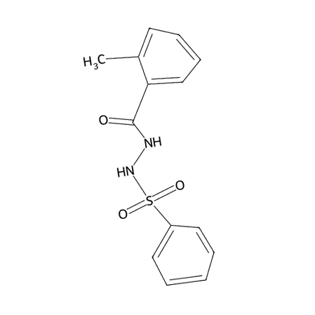 Cc1ccccc1C(=O)NNS(=O)(=O)c1ccccc1